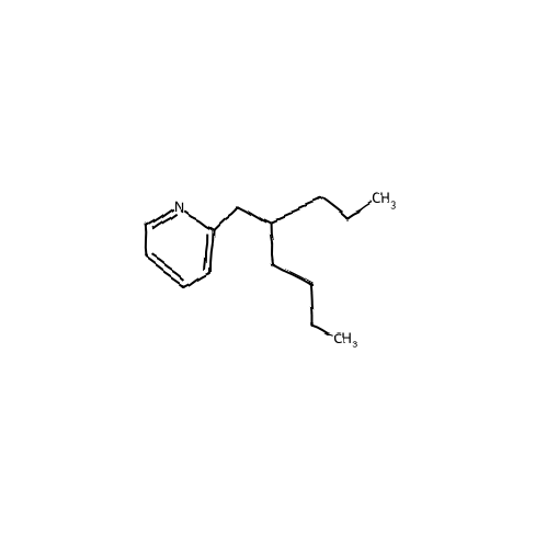 CCCCC(CCC)Cc1ccccn1